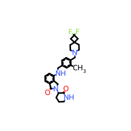 Cc1cc(CNc2cccc3c2CN(C2CCCNC2=O)C3=O)ccc1CN1CCC2(CC1)CC(F)(F)C2